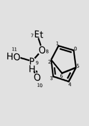 C1=CC2=CC=C1C2.CCO[PH](=O)O